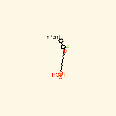 CCCCCC1CCC(c2ccc(OCCCCCCCCCCCO[PH](=O)O)c(F)c2)CC1